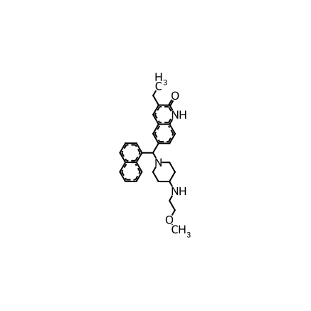 CCc1cc2cc(C(c3cccc4ccccc34)N3CCC(NCCOC)CC3)ccc2[nH]c1=O